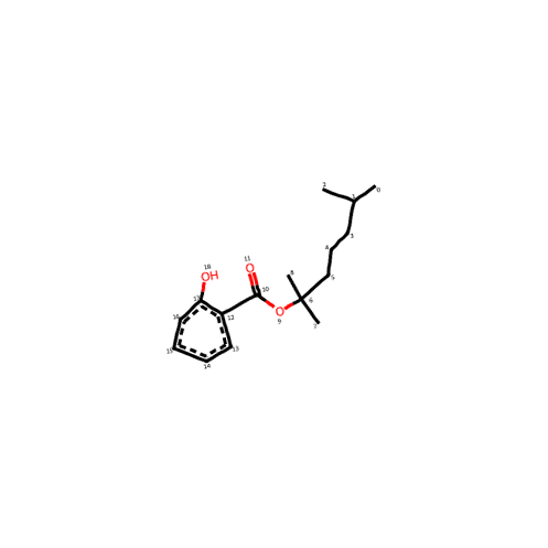 CC(C)CCCC(C)(C)OC(=O)c1ccccc1O